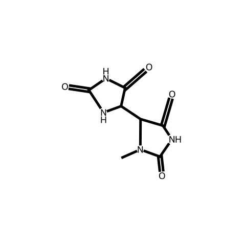 CN1C(=O)NC(=O)C1C1NC(=O)NC1=O